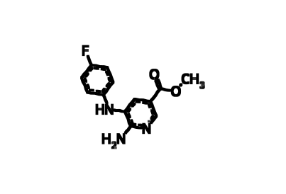 COC(=O)c1cnc(N)c(Nc2ccc(F)cc2)c1